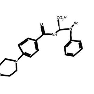 CC(=O)N(c1ccccc1)[C@@H](NC(=O)c1ccc(N2CCNCC2)cc1)C(=O)O